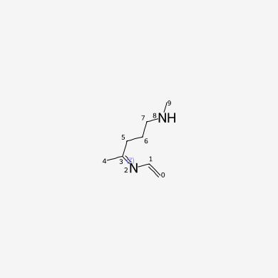 C=C/N=C(/C)CCCNC